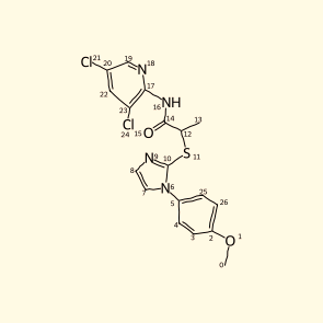 COc1ccc(-n2ccnc2SC(C)C(=O)Nc2ncc(Cl)cc2Cl)cc1